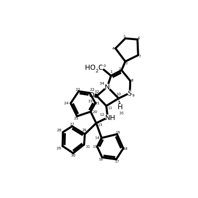 O=C(O)C1=C(C2CCCC2)CS[C@H]2C(NC(c3ccccc3)(c3ccccc3)c3ccccc3)C(=O)N12